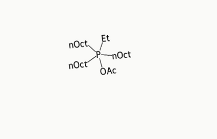 CCCCCCCCP(CC)(CCCCCCCC)(CCCCCCCC)OC(C)=O